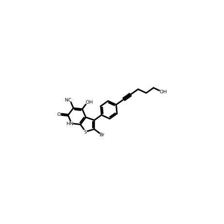 N#Cc1c(O)c2c(-c3ccc(C#CCCCO)cc3)c(Br)sc2[nH]c1=O